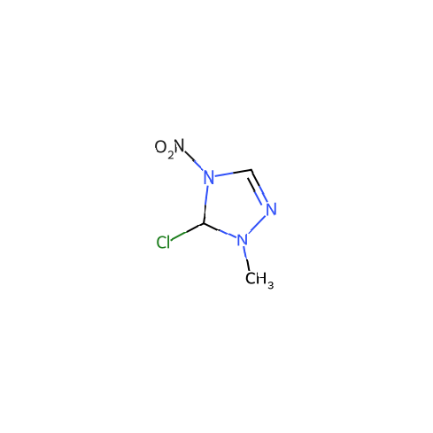 CN1N=CN([N+](=O)[O-])C1Cl